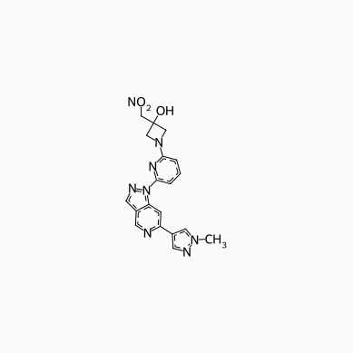 Cn1cc(-c2cc3c(cn2)cnn3-c2cccc(N3CC(O)(C[N+](=O)[O-])C3)n2)cn1